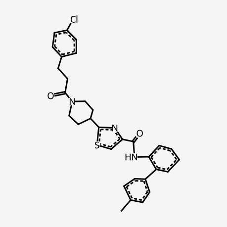 Cc1ccc(-c2ccccc2NC(=O)c2csc(C3CCN(C(=O)CCc4ccc(Cl)cc4)CC3)n2)cc1